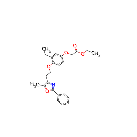 CCOC(=O)COc1ccc(OCCc2nc(-c3ccccc3)oc2C)c(CC)c1